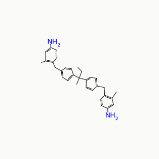 CCC(C)(c1ccc(Cc2ccc(N)cc2C)cc1)c1ccc(Cc2ccc(N)cc2C)cc1